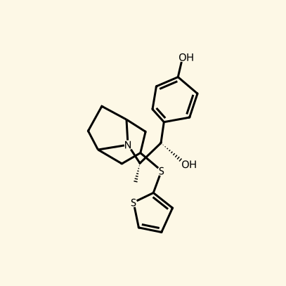 C[C@@H]([C@@H](O)c1ccc(O)cc1)N1C2CCC1CC(Sc1cccs1)C2